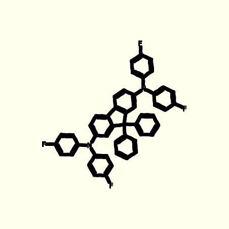 Fc1ccc(N(c2ccc(F)cc2)c2ccc3c(c2)C(c2ccccc2)(c2ccccc2)c2cc(N(c4ccc(F)cc4)c4ccc(F)cc4)ccc2-3)cc1